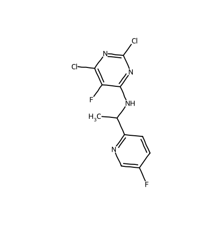 CC(Nc1nc(Cl)nc(Cl)c1F)c1ccc(F)cn1